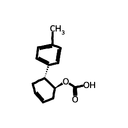 Cc1ccc([C@H]2CC=CC[C@@H]2OC(=O)O)cc1